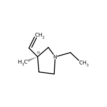 C=C[C@]1(C)CCN(CC)C1